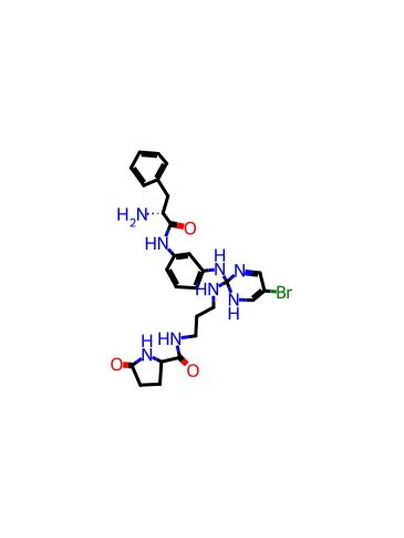 N[C@H](Cc1ccccc1)C(=O)Nc1cccc(NC2(NCCCNC(=O)C3CCC(=O)N3)N=CC(Br)=CN2)c1